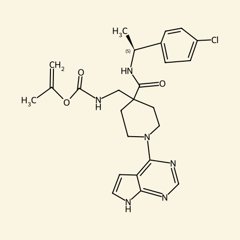 C=C(C)OC(=O)NCC1(C(=O)N[C@@H](C)c2ccc(Cl)cc2)CCN(c2ncnc3[nH]ccc23)CC1